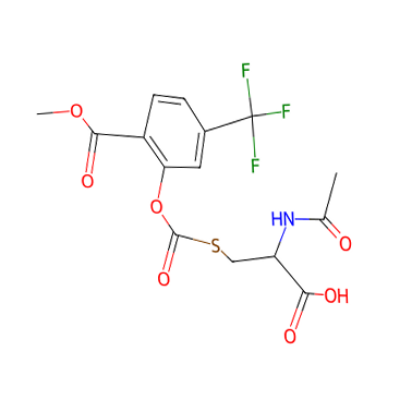 COC(=O)c1ccc(C(F)(F)F)cc1OC(=O)SCC(NC(C)=O)C(=O)O